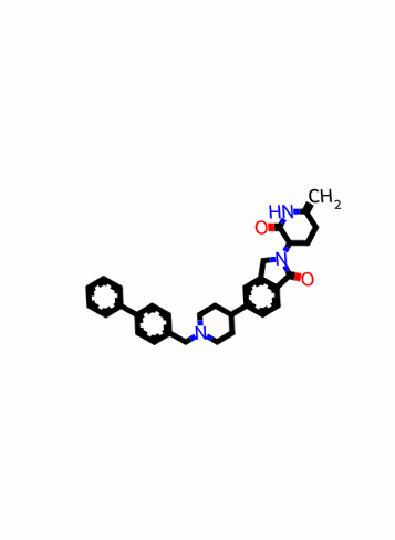 C=C1CCC(N2Cc3cc(C4CCN(Cc5ccc(-c6ccccc6)cc5)CC4)ccc3C2=O)C(=O)N1